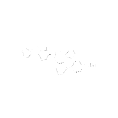 CC(C)(C)c1ccc(-c2cccc3c2-c2ccccc2CC(C)(c2ccc4c(c2)sc2ccccc24)C3)cc1